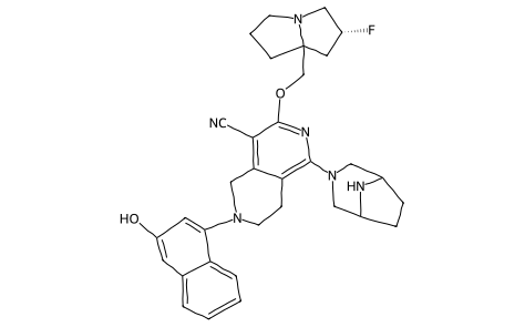 N#Cc1c(OCC23CCCN2C[C@H](F)C3)nc(N2CC3CCC(C2)N3)c2c1CN(c1cc(O)cc3ccccc13)CC2